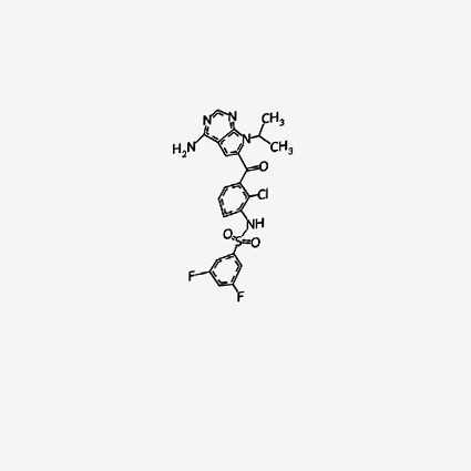 CC(C)n1c(C(=O)c2cccc(NS(=O)(=O)c3cc(F)cc(F)c3)c2Cl)cc2c(N)ncnc21